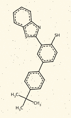 CC(C)(C)c1ccc(-c2ccc(S)c(-c3nc4ccccc4s3)c2)cc1